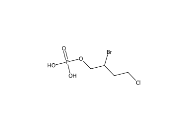 O=P(O)(O)OCC(Br)CCCl